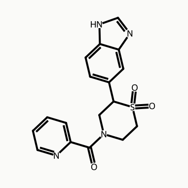 O=C(c1ccccn1)N1CCS(=O)(=O)C(c2ccc3[nH]cnc3c2)C1